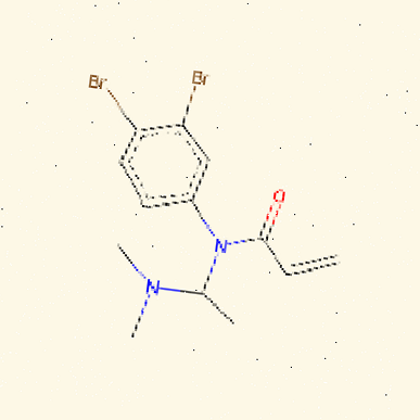 C=CC(=O)N(c1ccc(Br)c(Br)c1)C(C)N(C)C